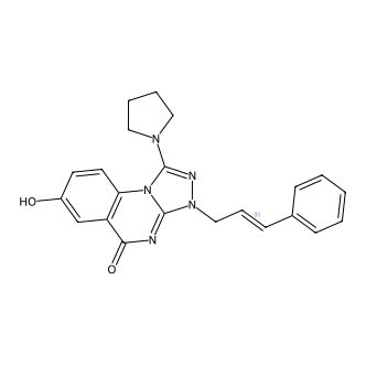 O=c1nc2n(C/C=C/c3ccccc3)nc(N3CCCC3)n2c2ccc(O)cc12